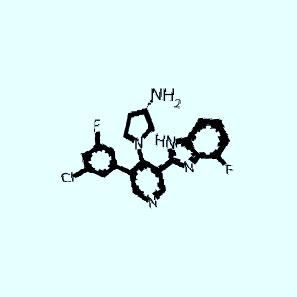 N[C@H]1CCN(c2c(-c3cc(F)cc(Cl)c3)cncc2-c2nc3c(F)cccc3[nH]2)C1